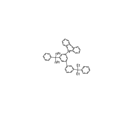 CCCC(CCC)(c1ccccc1)c1cc(-c2cccc(C(CC)(CC)c3ccccc3)c2)cc(-n2c3ccccc3c3ccccc32)c1